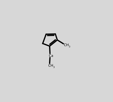 [CH3][Ca][C]1=C(C)C=CC1